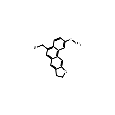 COc1ccc2c(CBr)cc3cc4c(cc3c2c1)OCC4